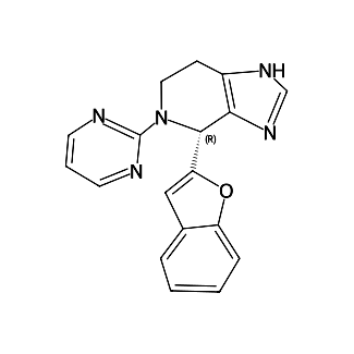 c1cnc(N2CCc3[nH]cnc3[C@@H]2c2cc3ccccc3o2)nc1